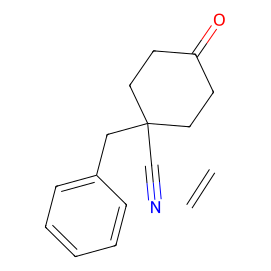 C=C.N#CC1(Cc2ccccc2)CCC(=O)CC1